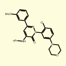 CCCNc1cc(-c2cccc(OC)c2)nn(-c2cc(N3CCOCC3)ccc2Cl)c1=O